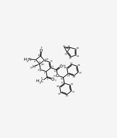 CC(=O)C1S[C@@H]2C(N)C(=O)N2C=C1C(=O)OC(c1ccccc1)c1ccccc1.c1cc2cc-2c1